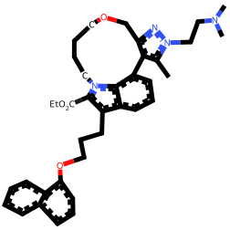 CCOC(=O)c1c(CCCOc2cccc3ccccc23)c2cccc3c2n1CCCCOCc1nn(CCN(C)C)c(C)c1-3